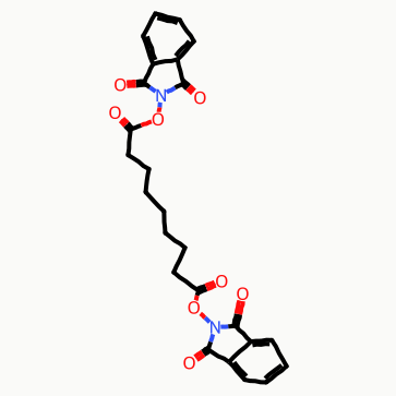 O=C(CCCCCCCC(=O)ON1C(=O)c2ccccc2C1=O)ON1C(=O)c2ccccc2C1=O